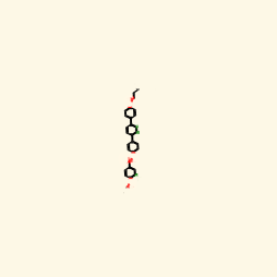 CCCCOc1ccc(-c2ccc(-c3ccc(OC(=O)c4ccc(OCC)c(F)c4)cc3)c(F)c2F)cc1